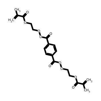 C=C(C)C(=O)OCCOOC(=O)c1ccc(C(=O)OOCCOC(=O)C(=C)C)cc1